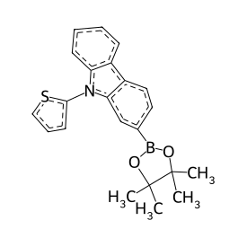 CC1(C)OB(c2ccc3c4ccccc4n(-c4cccs4)c3c2)OC1(C)C